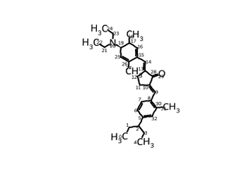 CCC(CC)c1ccc(/C=C2\CC/C(=C\C3=CC(C)[C@H](N(CC)CC)C=C3C)C2=O)c(C)c1